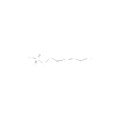 CCO[SiH2]CCSOS(=O)(=O)O